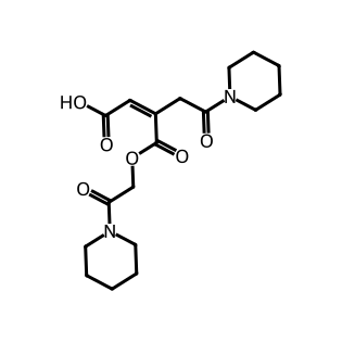 O=C(O)C=C(CC(=O)N1CCCCC1)C(=O)OCC(=O)N1CCCCC1